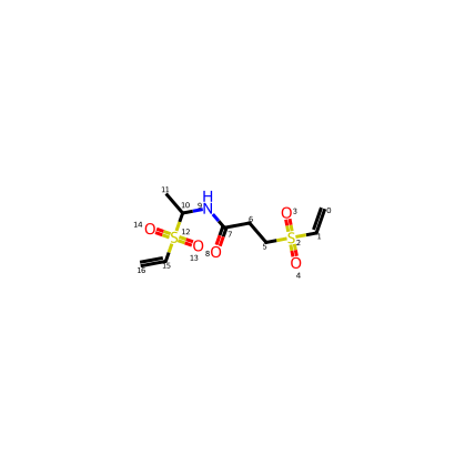 C=CS(=O)(=O)CCC(=O)NC(C)S(=O)(=O)C=C